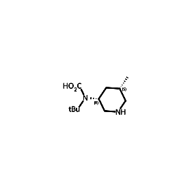 C[C@@H]1CNC[C@H](N(C(=O)O)C(C)(C)C)C1